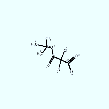 CC(C)(C)OC(=O)C(Cl)(Cl)C(=O)Cl